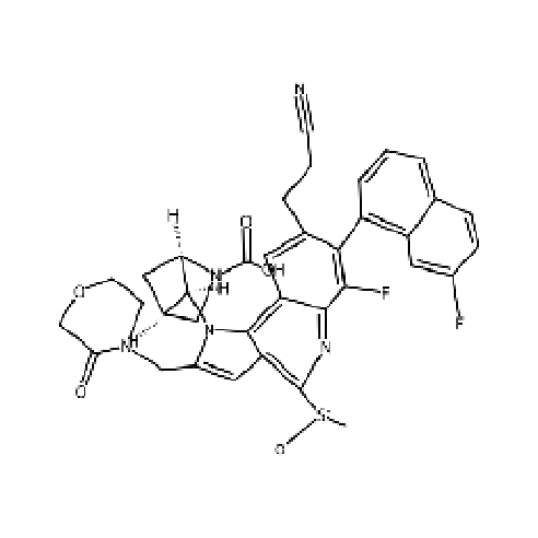 C[S+]([O-])c1nc2c(F)c(-c3cccc4ccc(F)cc34)c(CCC#N)cc2c2c1cc(CN1CCOCC1=O)n2[C@H]1[C@@H]2C[C@H]1N(C(=O)O)C2